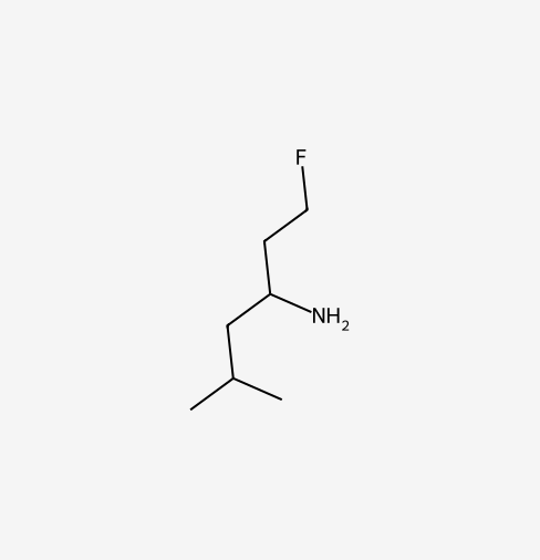 CC(C)CC(N)CCF